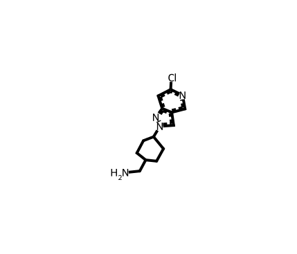 NCC1CCC(n2cc3cnc(Cl)cc3n2)CC1